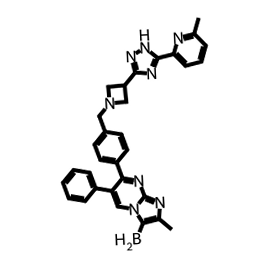 Bc1c(C)nc2nc(-c3ccc(CN4CC(c5n[nH]c(-c6cccc(C)n6)n5)C4)cc3)c(-c3ccccc3)cn12